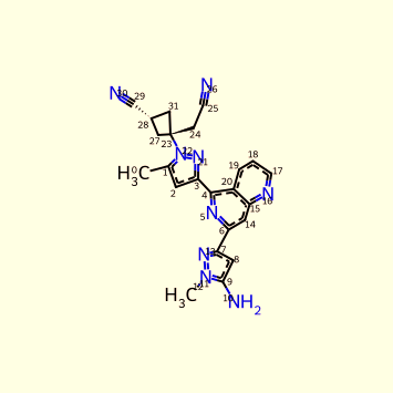 Cc1cc(-c2nc(-c3cc(N)n(C)n3)cc3ncccc23)nn1[C@]1(CC#N)C[C@H](C#N)C1